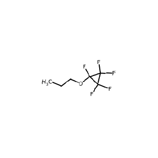 CCCOC1(F)C(F)(F)C1(F)F